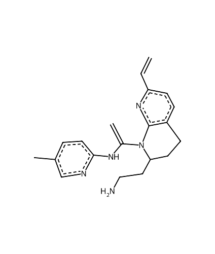 C=Cc1ccc2c(n1)N(C(=C)Nc1ccc(C)cn1)C(CCN)CC2